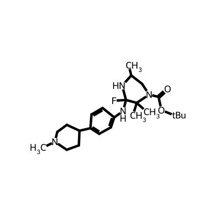 CC1CN(C(=O)OC(C)(C)C)C(C)(C)C(F)(Nc2ccc(C3CCN(C)CC3)cc2)N1